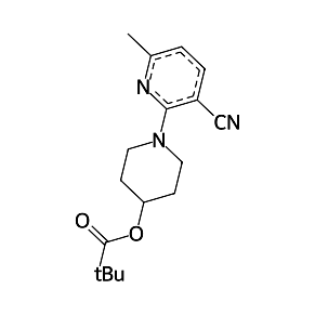 Cc1ccc(C#N)c(N2CCC(OC(=O)C(C)(C)C)CC2)n1